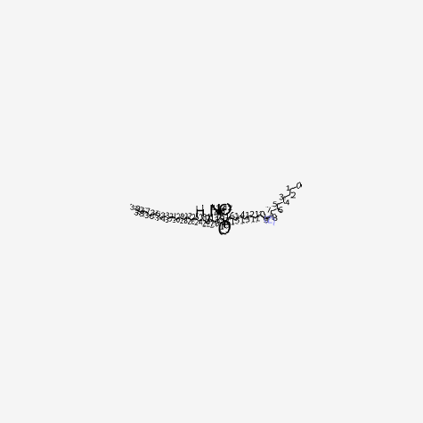 CCCCCCCC/C=C\CCCCCCCC(=O)C(CCCCCCCCCCCCCCCCCCCC)C(N)=O